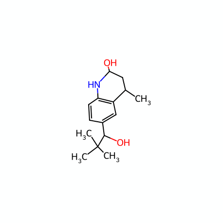 CC1CC(O)Nc2ccc(C(O)C(C)(C)C)cc21